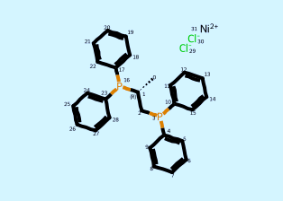 C[C@H](CP(c1ccccc1)c1ccccc1)P(c1ccccc1)c1ccccc1.[Cl-].[Cl-].[Ni+2]